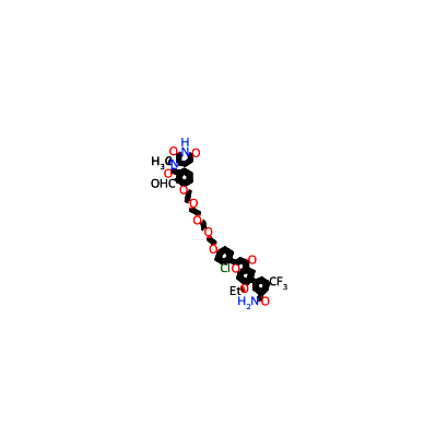 CCOc1cc2oc(-c3ccc(OCCOCCOCCOCCOc4cccc(C(=O)N(C)C5CCC(=O)NC5=O)c4C=O)cc3Cl)cc(=O)c2cc1-c1cc(C(N)=O)cc(C(F)(F)F)c1